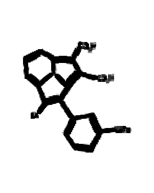 CCc1c(-c2cccc(OC)c2)c2c(C(=O)O)c(C(=O)O)c3cccc1n32